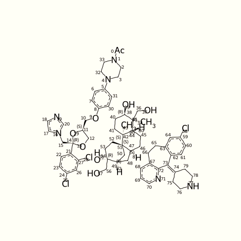 CC(=O)N1CCN(c2ccc(OC[C@H]3CO[C@](Cn4ccnc4)(c4ccc(Cl)cc4Cl)O3)cc2)CC1.C[C@@]1(CO)[C@H](O)CC[C@@]2(C)[C@H]1CC[C@H]1C[C@@H]3C[C@@]12CC[C@]3(O)CO.Clc1ccc2c(c1)CCc1cccnc1C2=C1CCNCC1